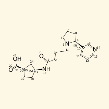 O=C(CCCN1CCC[C@H]1c1cccnc1)N[C@H]1CC[C@@H](C(=O)O)C1